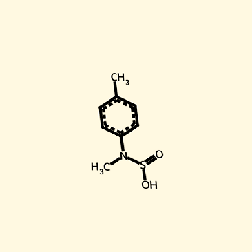 Cc1ccc(N(C)S(=O)O)cc1